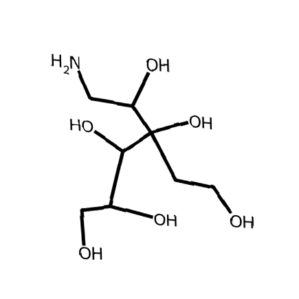 NCC(O)C(O)(CCO)C(O)C(O)CO